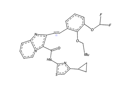 CC(C)(C)COc1c(/C=C/c2nc3ccccn3c2C(=O)Nc2nc(C3CC3)cs2)cccc1OC(F)F